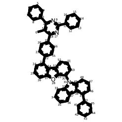 Cc1c(-c2ccccc2)nc(-c2ccccc2)nc1-c1ccc(-c2cccc3oc4c(-n5c6ccccc6c6c(-c7ccccc7)cccc65)cccc4c23)cc1